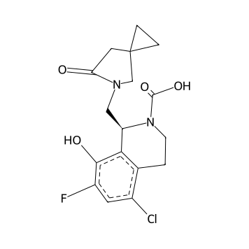 O=C1CC2(CC2)CN1C[C@@H]1c2c(O)c(F)cc(Cl)c2CCN1C(=O)O